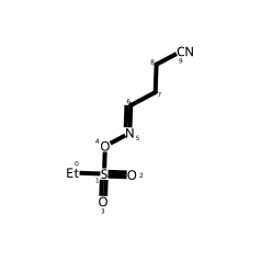 CCS(=O)(=O)ON=CCCC#N